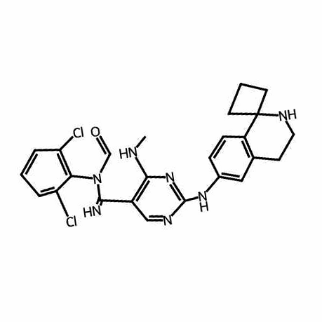 CNc1nc(Nc2ccc3c(c2)CCNC32CCC2)ncc1C(=N)N(C=O)c1c(Cl)cccc1Cl